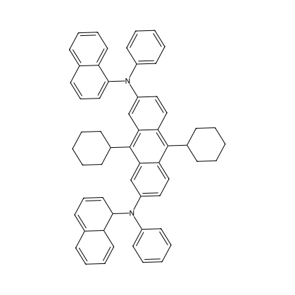 C1=CC2=CC=CC(N(c3ccccc3)c3ccc4c(C5CCCCC5)c5ccc(N(c6ccccc6)c6cccc7ccccc67)cc5c(C5CCCCC5)c4c3)C2C=C1